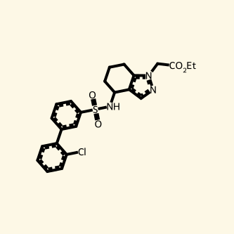 CCOC(=O)Cn1ncc2c1CCCC2NS(=O)(=O)c1cccc(-c2ccccc2Cl)c1